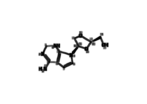 NC1=NCNc2c1ccn2[C@H]1CO[C@@H](CO)O1